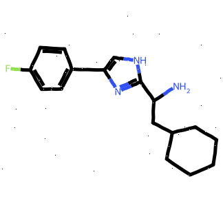 NC(CC1CCCCC1)c1nc(-c2ccc(F)cc2)c[nH]1